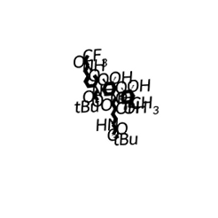 CC(C)(C)OC(=O)NCC[C@H](O)C(=O)N[C@@H]1CC[C@@H](O[C@H]2OC(CNC(=O)C(F)(F)F)=CC[C@H]2NC(=O)OC(C)(C)C)[C@H](O)[C@H]1O[C@H]1OC[C@](C)(O)C[C@H]1O